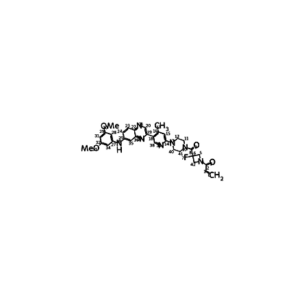 C=CC(=O)N1CC(F)(C(=O)N2CCN(c3cc(C)c(-c4cnc5ccc(Nc6cc(OC)cc(OC)c6)cc5n4)cn3)CC2)C1